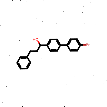 OC(C[CH]c1ccccc1)c1ccc(-c2ccc(Br)cc2)cc1